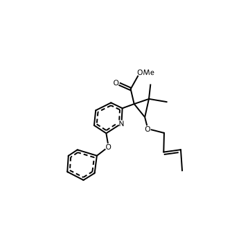 CC=CCOC1C(C)(C)C1(C(=O)OC)c1cccc(Oc2ccccc2)n1